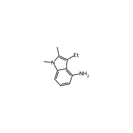 CCc1c(C)n(C)c2cccc(N)c12